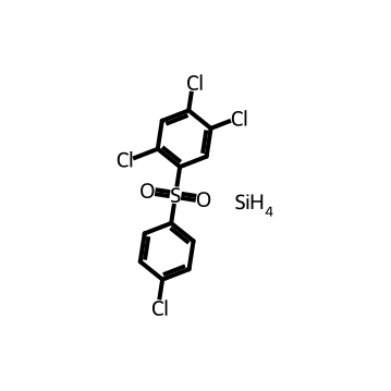 O=S(=O)(c1ccc(Cl)cc1)c1cc(Cl)c(Cl)cc1Cl.[SiH4]